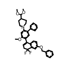 COc1cc(N2CCC(C(OC)OC)CC2)c(-c2ccccc2)cc1C1=CCC(F)(F)c2cc(OCc3ccccc3)ccc21